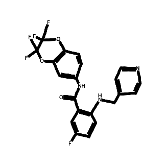 O=C(Nc1ccc2c(c1)OC(F)(F)C(F)(F)O2)c1cc(F)ccc1NCc1ccncc1